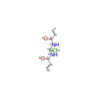 C=CC(=O)NCNC(=O)C=C.Cl